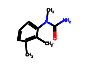 [CH2]c1c(C)cccc1N(C)C(N)=O